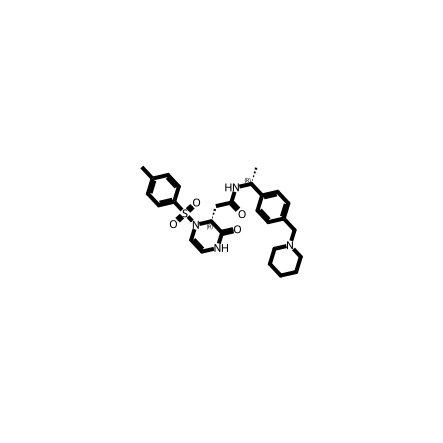 Cc1ccc(S(=O)(=O)N2C=CNC(=O)[C@H]2CC(=O)N[C@H](C)c2ccc(CN3CCCCC3)cc2)cc1